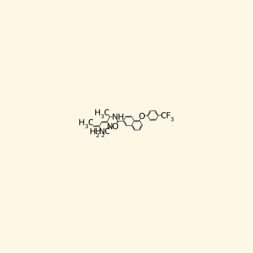 C=N/C(=C\C(N)=C/C)[C@@H](C)NC(=O)c1ccc2c(Oc3ccc(C(F)(F)F)cc3)cccc2c1